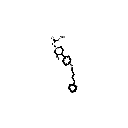 CC(C)(C)OC(=O)ON1CCC(c2ccc(OCCCCc3ccccc3)cc2)C(O)C1